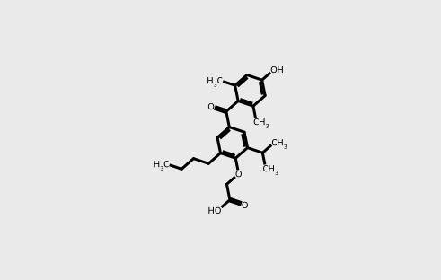 CCCCc1cc(C(=O)c2c(C)cc(O)cc2C)cc(C(C)C)c1OCC(=O)O